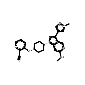 CNc1cc2c(cn1)c(-c1cnn(C)c1)nn2[C@H]1CC[C@@H](Oc2cccnc2C#N)CC1